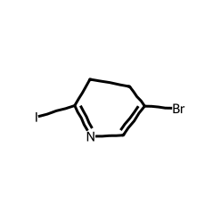 BrC1=CN=C(I)CC1